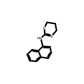 c1ccc2c(NC3=NCCCO3)cccc2c1